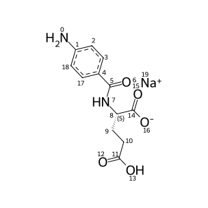 Nc1ccc(C(=O)N[C@@H](CCC(=O)O)C(=O)[O-])cc1.[Na+]